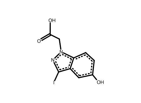 O=C(O)Cn1nc(I)c2cc(O)ccc21